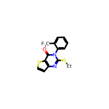 CCSc1nc2ccsc2c(=O)n1-c1ccccc1C(F)(F)F